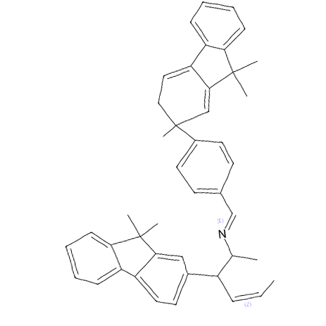 C/C=C\C(c1ccc2c(c1)C(C)(C)c1ccccc1-2)C(C)/N=C/c1ccc(C2(C)C=C3C(=CC2)c2ccccc2C3(C)C)cc1